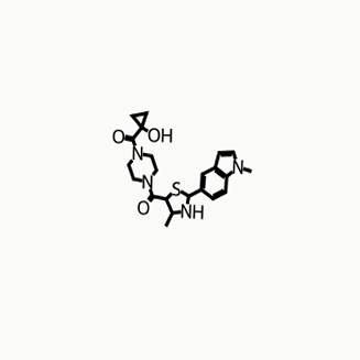 CC1NC(c2ccc3c(ccn3C)c2)SC1C(=O)N1CCN(C(=O)C2(O)CC2)CC1